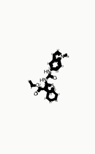 CCOC(=O)c1c(NC(=O)Nc2ccc3c(ccn3C)c2)sc2c1CCCC2